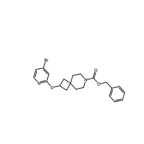 O=C(OCc1ccccc1)N1CCC2(CC1)CC(Oc1cc(Br)ccn1)C2